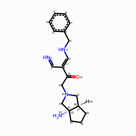 N=C/C(=C\NCc1ccccc1)C(=O)CN1C[C@H]2CCC[C@@]2(N)C1